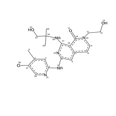 Cc1cc(Nc2cc3ccn(CCO)c(=O)c3c(NC(C)(C)CO)n2)ncc1Cl